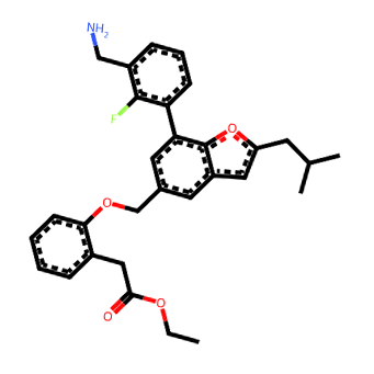 CCOC(=O)Cc1ccccc1OCc1cc(-c2cccc(CN)c2F)c2oc(CC(C)C)cc2c1